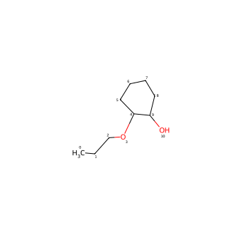 CCCOC1CCC[CH]C1O